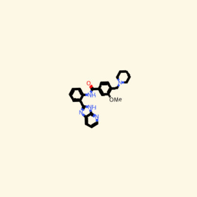 COc1cc(C(=O)Nc2ccccc2-c2nc3cccnc3[nH]2)ccc1CN1CCCCC1